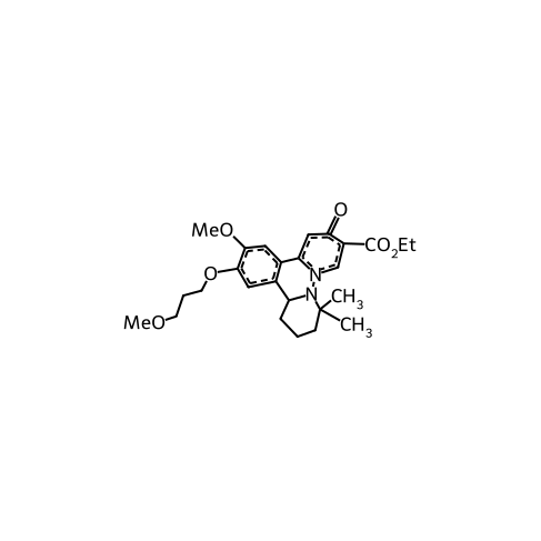 CCOC(=O)c1cn2c(cc1=O)-c1cc(OC)c(OCCCOC)cc1C1CCCC(C)(C)N12